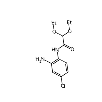 CCOC(OCC)C(=O)Nc1ccc(Cl)cc1N